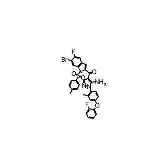 Cc1ccc(S(=O)(=O)n2c(C(=O)c3cnn(-c4ccc(Oc5ccccc5F)cc4C)c3N)cc3cc(F)c(Br)cc32)cc1